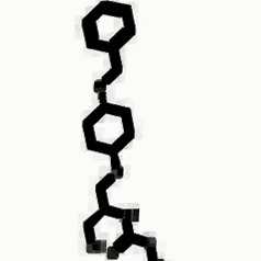 CC(C)(C)OC(=O)N[C@@H](CO)CO[C@H]1CC[C@H](OCc2ccccc2)CC1